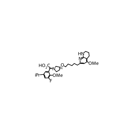 COc1cc(CCCCCO[C@@H]2CCN([C@H](C(=O)O)c3cc(C(C)C)cc(F)c3OC)C2)nc2c1CCCN2